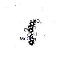 CO/C(=N\C(=O)Nc1cc(Cl)c(Oc2ccc([N+](=O)[O-])cc2)c(Cl)c1)c1ccccc1Cl